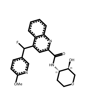 COc1ccc(C(F)c2cc(C(=O)N[C@H]3CCOC[C@@H]3O)nc3ccccc23)cn1